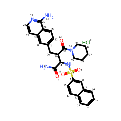 Cl.NC(=O)C(NS(=O)(=O)c1ccc2ccccc2c1)C(Cc1ccc2c(N)nccc2c1)C(=O)N1CCCCC1